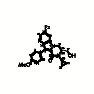 COc1ccc(-c2c3n(c4cc(F)cnc24)C[C@H](CO)N(C2CC2)C3=O)cn1